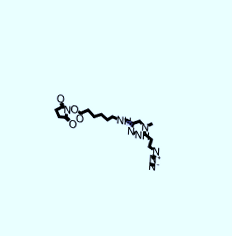 CN(CCCN=[N+]=[N-])C/C(=C/NCCCCCC(=O)ON1C(=O)CCC1=O)N=N